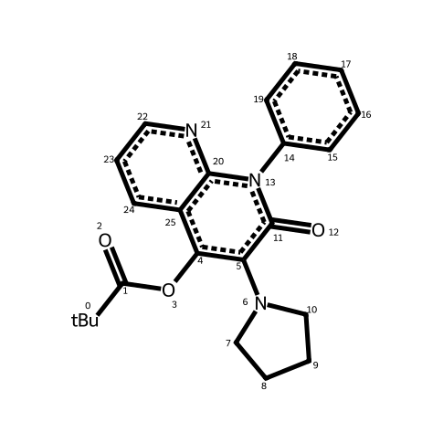 CC(C)(C)C(=O)Oc1c(N2CCCC2)c(=O)n(-c2ccccc2)c2ncccc12